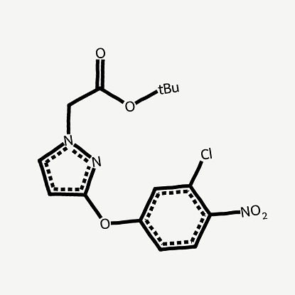 CC(C)(C)OC(=O)Cn1ccc(Oc2ccc([N+](=O)[O-])c(Cl)c2)n1